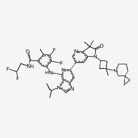 Cc1c(C(=O)NCC(F)F)cc(Nc2nc(-c3cnc4c(c3)N(C3CC(C)(N5CCCC6(CC6)C5)C3)C(=O)C4(C)C)cc3ncn(C(C)C)c23)c(F)c1F